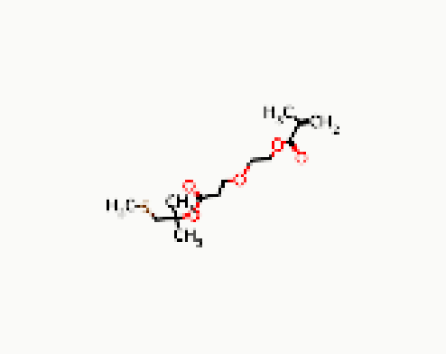 C=C(C)C(=O)OCCOCCC(=O)OC(C)(C)CSC